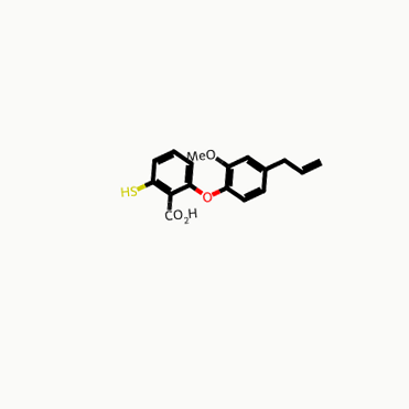 C=CCc1ccc(Oc2cccc(S)c2C(=O)O)c(OC)c1